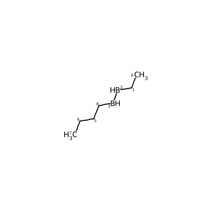 CCBBCCCC